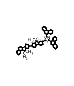 CC1(C)c2cc(-c3ccc4c(c3)C(C)(C)c3c-4ccc4ccccc34)ccc2-c2ccc(-c3nc(-c4cc5ccccc5c5ccccc45)nc(-c4cc5ccccc5c5ccccc45)n3)cc21